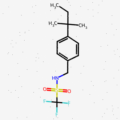 CCC(C)(C)c1ccc(CNS(=O)(=O)C(F)(F)F)cc1